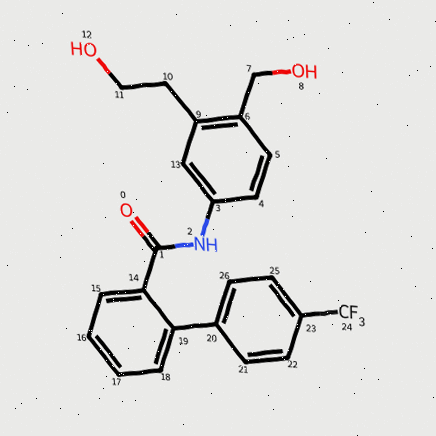 O=C(Nc1ccc(CO)c(CCO)c1)c1ccccc1-c1ccc(C(F)(F)F)cc1